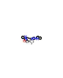 CC(C)n1c(CCCCN2CCN(c3ccc4ccccc4n3)CC2)nc2ccccc2c1=O